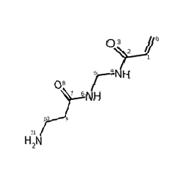 C=CC(=O)NCNC(=O)CCN